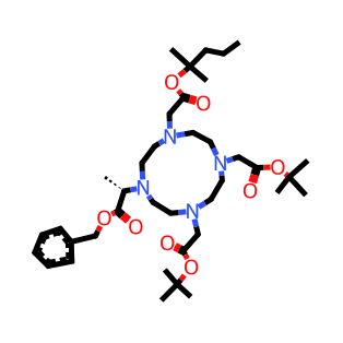 CCCC(C)(C)OC(=O)CN1CCN(CC(=O)OC(C)(C)C)CCN(CC(=O)OC(C)(C)C)CCN([C@@H](C)C(=O)OCc2ccccc2)CC1